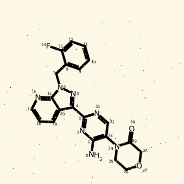 Nc1nc(-c2nn(Cc3ccccc3F)c3ncccc23)ncc1N1CCOCC1=O